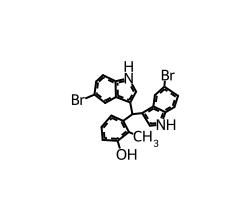 Cc1c(O)cccc1C(c1c[nH]c2ccc(Br)cc12)c1c[nH]c2ccc(Br)cc12